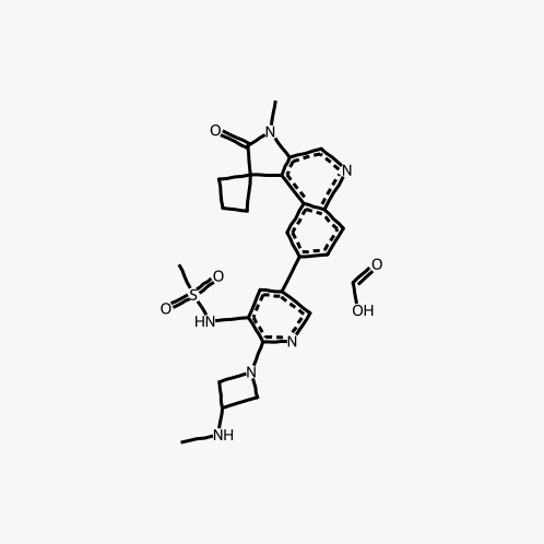 CNC1CN(c2ncc(-c3ccc4ncc5c(c4c3)C3(CCC3)C(=O)N5C)cc2NS(C)(=O)=O)C1.O=CO